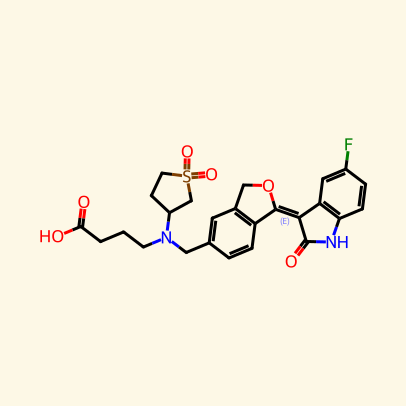 O=C(O)CCCN(Cc1ccc2c(c1)CO/C2=C1/C(=O)Nc2ccc(F)cc21)C1CCS(=O)(=O)C1